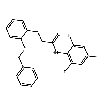 O=C(CCc1ccccc1OCc1ccccc1)Nc1c(F)cc(F)cc1F